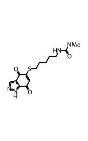 CNC(=O)NCCCCCSC1=CC(=O)c2[nH]ncc2C1=O